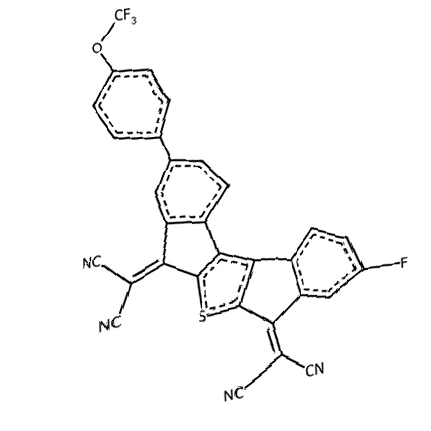 N#CC(C#N)=C1c2cc(F)ccc2-c2c1sc1c2-c2ccc(-c3ccc(OC(F)(F)F)cc3)cc2C1=C(C#N)C#N